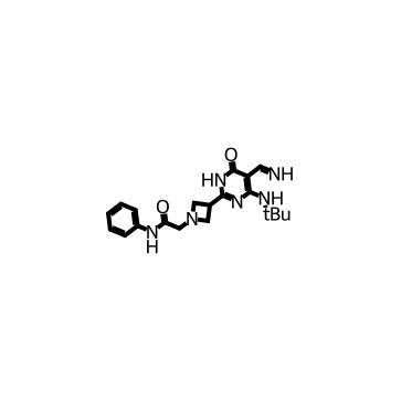 CC(C)(C)Nc1nc(C2CN(CC(=O)Nc3ccccc3)C2)[nH]c(=O)c1C=N